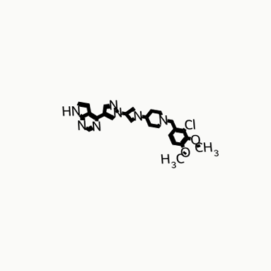 COc1ccc(CN2CCC(N3CC(n4cc(-c5ncnc6[nH]ccc56)cn4)C3)CC2)c(Cl)c1OC